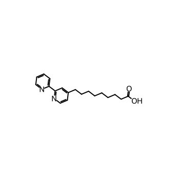 O=C(O)CCCCCCCCc1ccnc(-c2ccccn2)c1